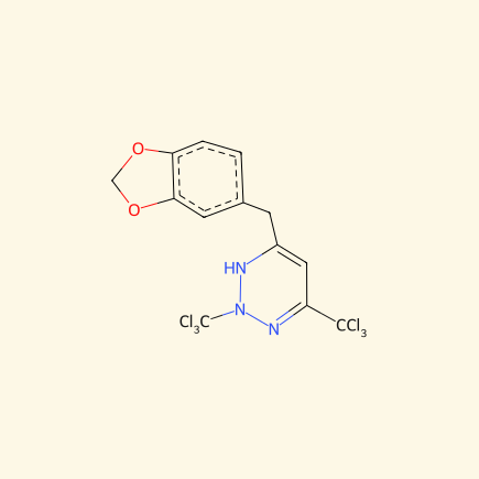 ClC(Cl)(Cl)C1=NN(C(Cl)(Cl)Cl)NC(Cc2ccc3c(c2)OCO3)=C1